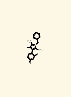 Cc1c(-c2ccc(Cl)cc2F)c(C(=O)O)n(Cc2ccccc2)c1C(F)(F)F